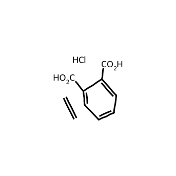 C=C.Cl.O=C(O)c1ccccc1C(=O)O